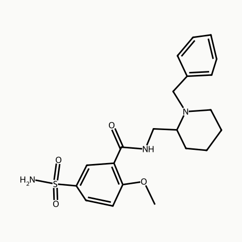 COc1ccc(S(N)(=O)=O)cc1C(=O)NCC1CCCCN1Cc1ccccc1